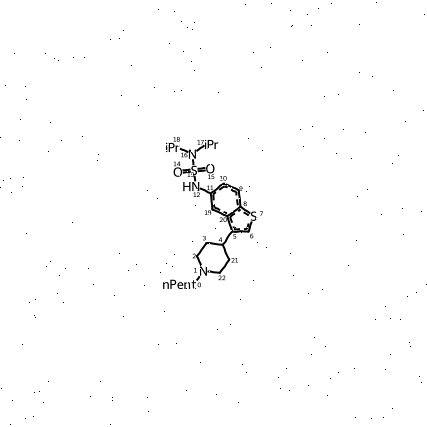 CCCCCN1CCC(c2csc3ccc(NS(=O)(=O)N(C(C)C)C(C)C)cc23)CC1